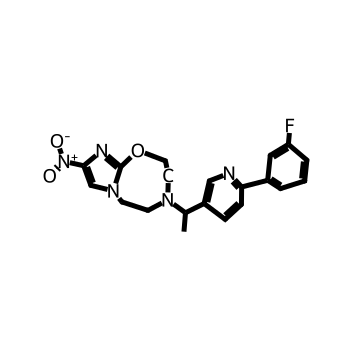 CC(c1ccc(-c2cccc(F)c2)nc1)N1CCOc2nc([N+](=O)[O-])cn2CC1